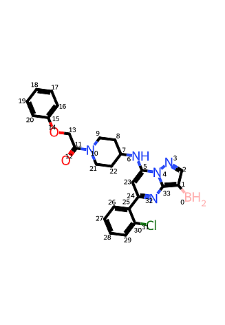 Bc1cnn2c(NC3CCN(C(=O)COc4ccccc4)CC3)cc(-c3ccccc3Cl)nc12